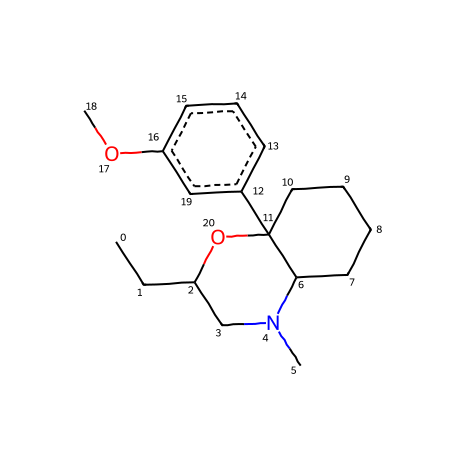 CCC1CN(C)C2CCCCC2(c2cccc(OC)c2)O1